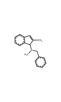 CC1=Cc2ccccc2[CH]1[Zr]([CH3])[CH2]c1ccccc1